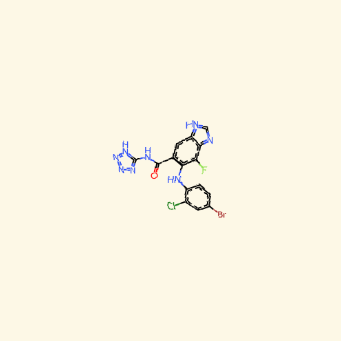 O=C(Nc1nnn[nH]1)c1cc2[nH]cnc2c(F)c1Nc1ccc(Br)cc1Cl